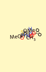 CC[C@H](C)[C@H](NC(=O)OCC1c2ccccc2-c2ccccc21)C(=O)N(C)[C@H](C[C@@H](OC)c1nc(C(=O)OC)cs1)C(C)C